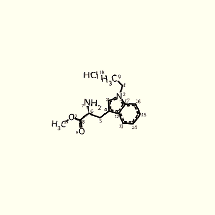 CCn1cc(C[C@H](N)C(=O)OC)c2ccccc21.Cl